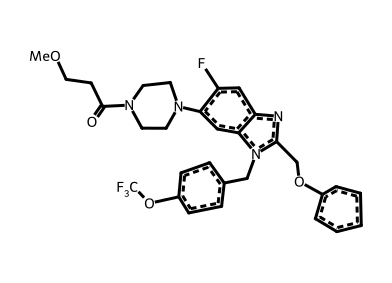 COCCC(=O)N1CCN(c2cc3c(cc2F)nc(COc2ccccc2)n3Cc2ccc(OC(F)(F)F)cc2)CC1